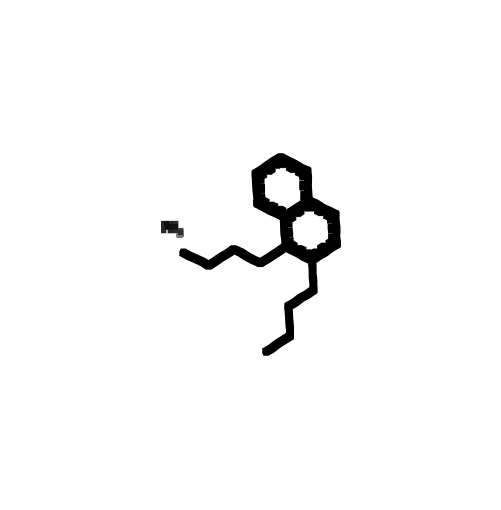 CCCCc1ccc2ccccc2c1CCCC.P